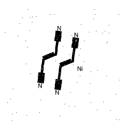 N#CC=CC#N.N#CC=CC#N.[Ni]